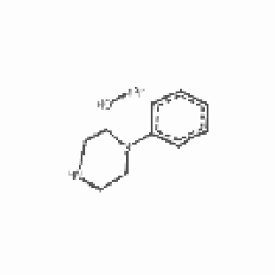 CCCO.c1ccc(N2CCNCC2)cc1